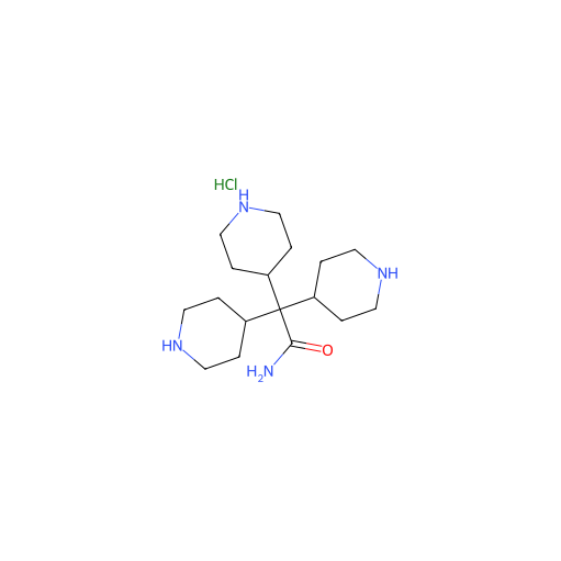 Cl.NC(=O)C(C1CCNCC1)(C1CCNCC1)C1CCNCC1